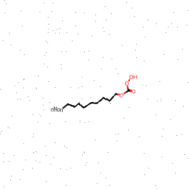 CCCCCCCCCCCCCCCCCCOC(=O)OO